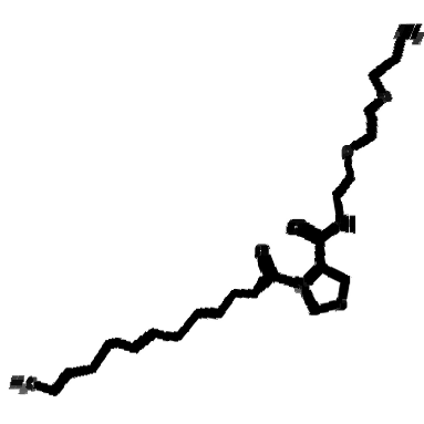 CCCCCCCCCCCCC(=O)N1CSCC1C(=O)NCCOCCOCCN